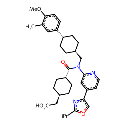 COc1ccc([C@H]2CC[C@H](CN(c3cc(-c4coc(C(C)C)n4)ccn3)C(=O)[C@H]3CC[C@H](CC(=O)O)CC3)CC2)cc1C